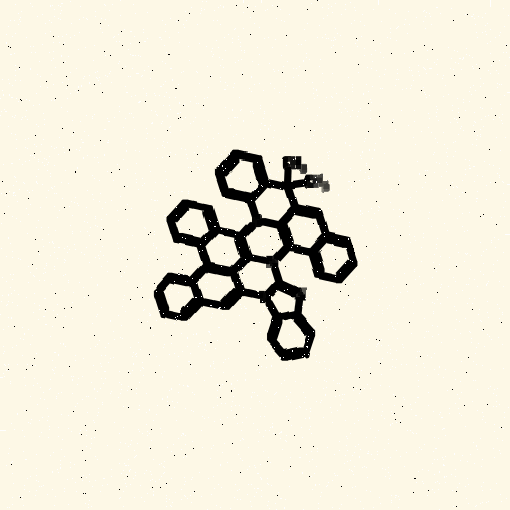 CC1(C)c2ccccc2B2c3c1cc1ccccc1c3-n1c3c2c2ccccc2c2c4ccccc4cc(c23)n2c3ccccc3nc12